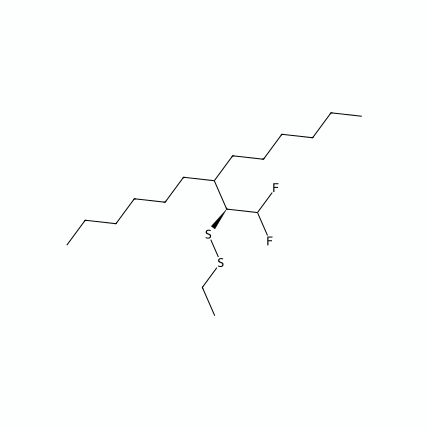 CCCCCCC(CCCCCC)[C@H](SSCC)C(F)F